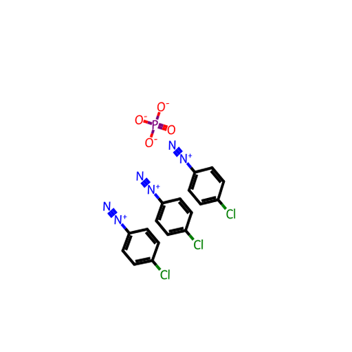 N#[N+]c1ccc(Cl)cc1.N#[N+]c1ccc(Cl)cc1.N#[N+]c1ccc(Cl)cc1.O=P([O-])([O-])[O-]